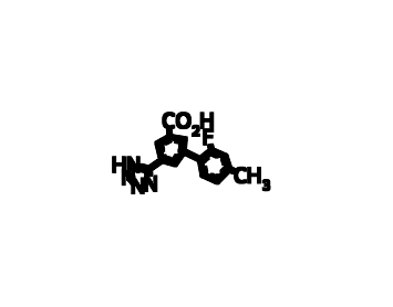 Cc1ccc(-c2cc(C(=O)O)cc(-c3nnn[nH]3)c2)c(F)c1